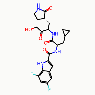 O=C(NC(CC1CC1)C(=O)NC(C[C@@H]1CCNC1=O)C(=O)CO)c1cc2cc(F)cc(F)c2[nH]1